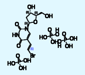 O=P(O)(O)O.O=P(O)(O)O.O=P(O)(O)O.O=c1[nH]c(=O)n([C@H]2C[C@H](O)[C@@H](CO)O2)cc1/C=C/Br